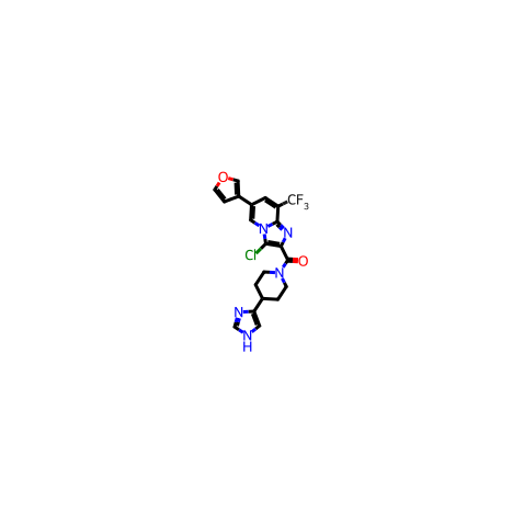 O=C(c1nc2c(C(F)(F)F)cc(-c3ccoc3)cn2c1Cl)N1CCC(c2c[nH]cn2)CC1